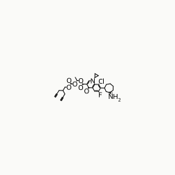 C#CCC(CC#C)COC(=O)OC(C)OC(=O)c1cn(C2CC2)c2c(Cl)c(C3CCCC[C@@H](N)C3)c(F)cc2c1=O